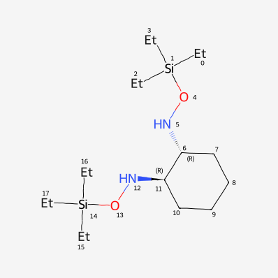 CC[Si](CC)(CC)ON[C@@H]1CCCC[C@H]1NO[Si](CC)(CC)CC